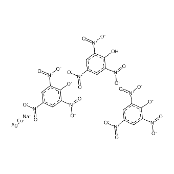 O=[N+]([O-])c1cc([N+](=O)[O-])c(O)c([N+](=O)[O-])c1.O=[N+]([O-])c1cc([N+](=O)[O-])c([O-])c([N+](=O)[O-])c1.O=[N+]([O-])c1cc([N+](=O)[O-])c([O-])c([N+](=O)[O-])c1.[Ag+].[Cu].[Na+]